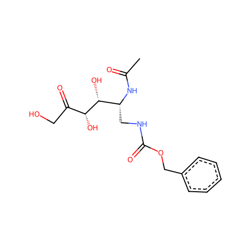 CC(=O)N[C@H](CNC(=O)OCc1ccccc1)[C@@H](O)[C@H](O)C(=O)CO